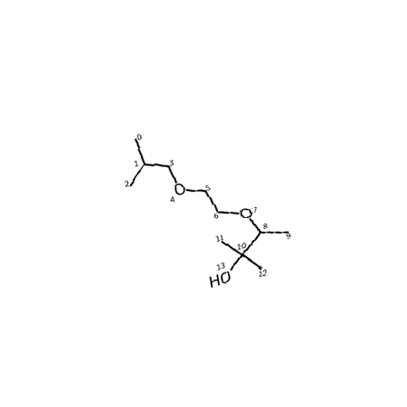 CC(C)COCCOC(C)C(C)(C)O